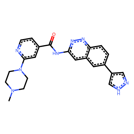 CN1CCN(c2cc(C(=O)Nc3cc4cc(-c5cn[nH]c5)ccc4nn3)ccn2)CC1